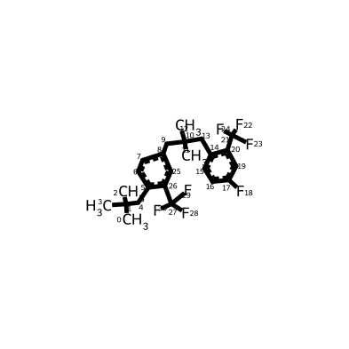 CC(C)(C)Cc1ccc(CC(C)(C)Cc2ccc(F)cc2C(F)(F)F)cc1C(F)(F)F